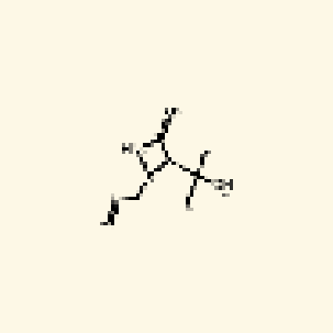 C=CC[C@H]1NC(=O)[C@H]1C(C)(C)O